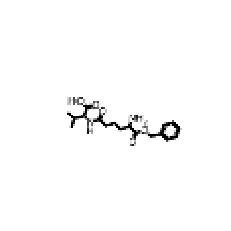 CC(C)[C@H](NC(=O)CCCC(N)C(=O)OCc1ccccc1)C(=O)O